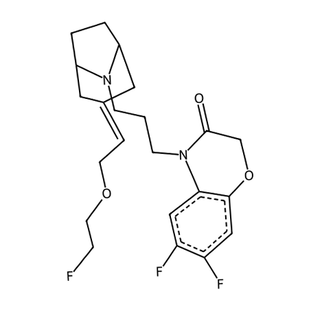 O=C1COc2cc(F)c(F)cc2N1CCCN1C2CCC1CC(=CCOCCF)C2